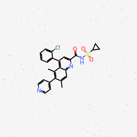 Cc1cc2nc(C(=O)NS(=O)(=O)C3CC3)cc(-c3ccccc3Cl)c2c(C)c1-c1ccncc1